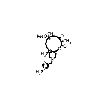 CO[C@]1(C)CCCN(C)C2(CCN(Cc3cn(C)cn3)CC2)COC(=O)C(C)C(=O)CC1